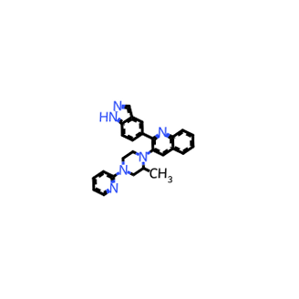 CC1CN(c2ccccn2)CCN1c1cc2ccccc2nc1-c1ccc2[nH]ncc2c1